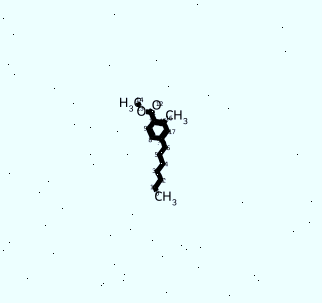 CCCCCCCc1ccc(C(=O)OC)c(C)c1